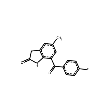 Cc1cc2c(c(C(=O)c3ccc(F)cc3)c1)NC(=O)C2